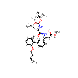 C=CCCOc1cccc(C)c1-c1cccc([C@H](CC(=O)OC)NC(=O)[C@H](CC=C)NC(=O)OC(C)(C)C)c1